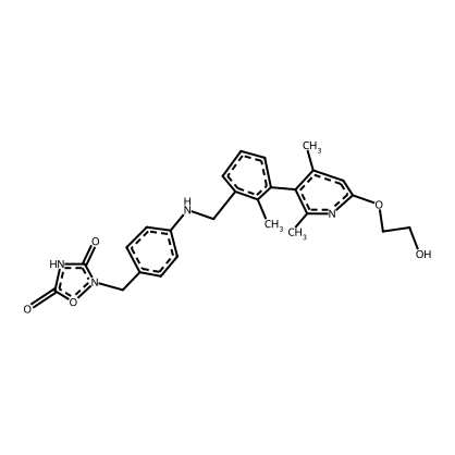 Cc1cc(OCCO)nc(C)c1-c1cccc(CNc2ccc(Cn3oc(=O)[nH]c3=O)cc2)c1C